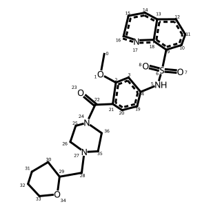 COc1cc(NS(=O)(=O)c2cccc3cccnc23)ccc1C(=O)N1CCN(CC2CCCCO2)CC1